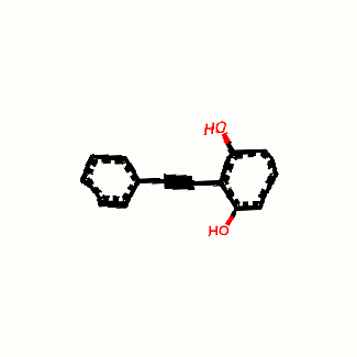 Oc1cccc(O)c1C#Cc1ccccc1